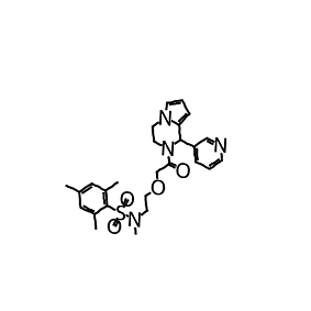 Cc1cc(C)c(S(=O)(=O)N(C)CCOCC(=O)N2CCn3cccc3C2c2cccnc2)c(C)c1